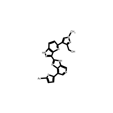 CC(=O)c1ccc(-c2cncc3[nH]c(-c4n[nH]c5ccc(-c6cn(C)nc6CO)nc45)nc23)s1